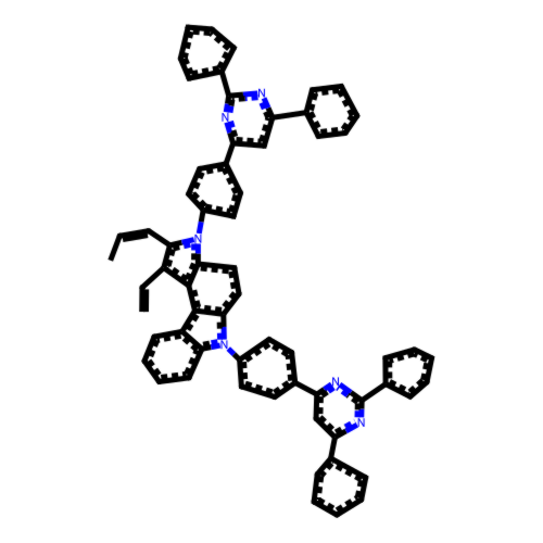 C=Cc1c(/C=C\C)n(-c2ccc(-c3cc(-c4ccccc4)nc(-c4ccccc4)n3)cc2)c2ccc3c(c4ccccc4n3-c3ccc(-c4cc(-c5ccccc5)nc(-c5ccccc5)n4)cc3)c12